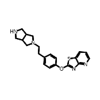 c1cnc2nc(Oc3ccc(CCN4CC5CNCC5C4)cc3)sc2c1